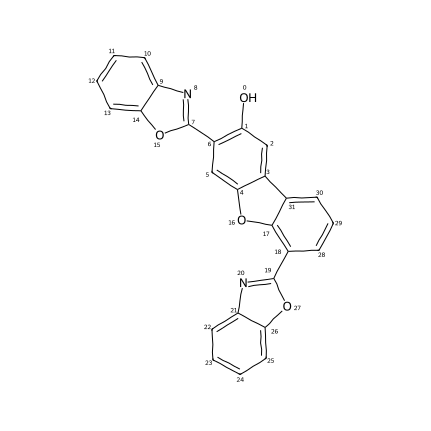 Oc1cc2c(cc1-c1nc3ccccc3o1)oc1c(-c3nc4ccccc4o3)cccc12